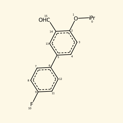 CC(C)Oc1ccc(-c2ccc(F)cc2)cc1C=O